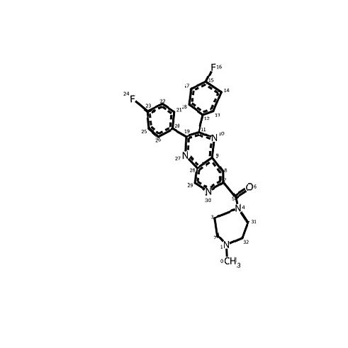 CN1CCN(C(=O)c2cc3nc(-c4ccc(F)cc4)c(-c4ccc(F)cc4)nc3cn2)CC1